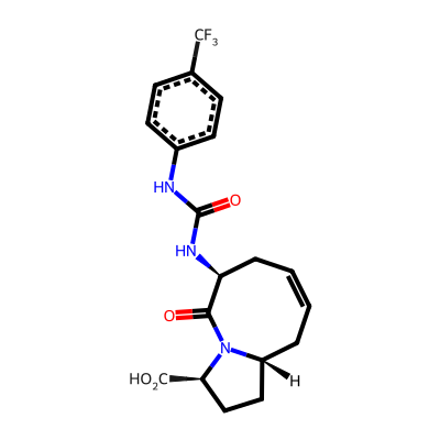 O=C(Nc1ccc(C(F)(F)F)cc1)N[C@H]1CC=CC[C@@H]2CC[C@@H](C(=O)O)N2C1=O